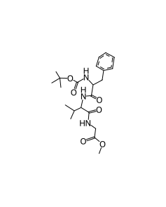 COC(=O)CNC(=O)C(NC(=O)C(Cc1ccccc1)NC(=O)OC(C)(C)C)C(C)C